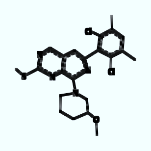 COC1CCCN(c2nc(-c3c(Cl)c(C)cc(C)c3Cl)cc3cnc(SC)nc23)C1